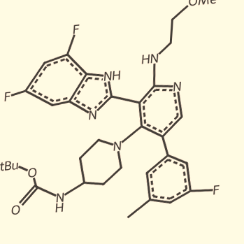 COCCNc1ncc(-c2cc(C)cc(F)c2)c(N2CCC(NC(=O)OC(C)(C)C)CC2)c1-c1nc2cc(F)cc(F)c2[nH]1